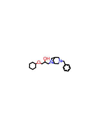 OC(COC1CCCCC1)CN1CC2CC1CN(Cc1ccccc1)C2